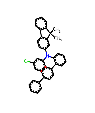 CC1(C)c2ccccc2-c2ccc(N(c3cccc(Cl)c3)c3ccccc3-c3ccc(-c4ccccc4)cc3)cc21